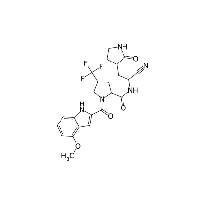 COc1cccc2[nH]c(C(=O)N3CC(C(F)(F)F)CC3C(=O)NC(C#N)CC3CCNC3=O)cc12